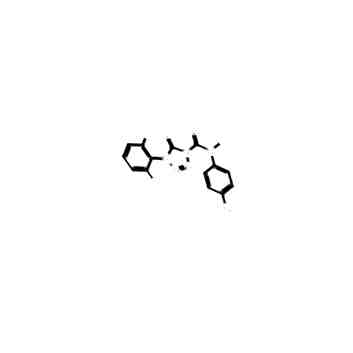 CN(C(=O)n1nnn(-c2c(Cl)cccc2Cl)c1=O)c1ccc(N)cc1